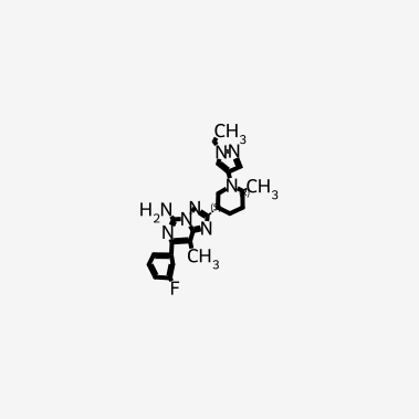 CCn1cc(N2C[C@@H](c3nc4c(C)c(-c5cccc(F)c5)nc(N)n4n3)CC[C@H]2C)cn1